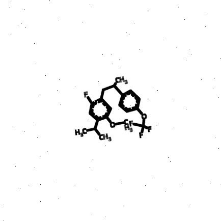 COc1cc(CC(C)c2ccc(OC(F)(F)F)cc2)c(F)cc1C(C)C